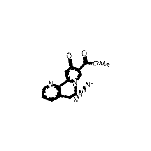 COC(=O)c1cn2c(cc1=O)-c1ncccc1CC2.[N-]=[N+]=[N-]